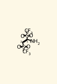 NC(=CS(=O)(=O)C(F)(F)F)S(=O)(=O)C(F)(F)F